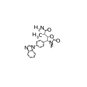 CC(C(N)=O)C1OC(=O)N(F)C1c1ccc(-n2cnc3ccccc32)cc1